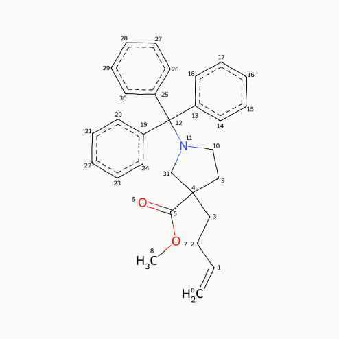 C=CCCC1(C(=O)OC)CCN(C(c2ccccc2)(c2ccccc2)c2ccccc2)C1